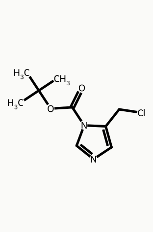 CC(C)(C)OC(=O)n1cncc1CCl